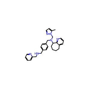 Cc1ccnn1CN(Cc1ccc(CNCc2ccccn2)cc1)C1CCCCc2cccnc21